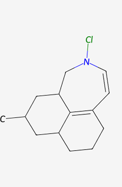 CC1CC2CCCC3=C2C(C1)CN(Cl)C=C3